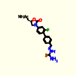 CC(=O)NC[C@H]1CN(c2ccc(-c3ccc(C=NNC(N)=S)cc3)c(F)c2)C(=O)O1